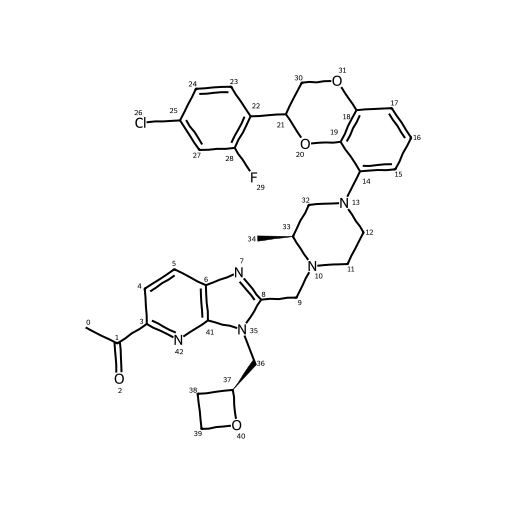 CC(=O)c1ccc2nc(CN3CCN(c4cccc5c4OC(c4ccc(Cl)cc4F)CO5)C[C@@H]3C)n(C[C@@H]3CCO3)c2n1